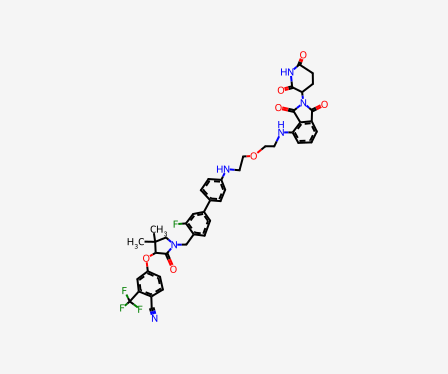 CC1(C)CN(Cc2ccc(-c3ccc(NCCOCCNc4cccc5c4C(=O)N(C4CCC(=O)NC4=O)C5=O)cc3)cc2F)C(=O)C1Oc1ccc(C#N)c(C(F)(F)F)c1